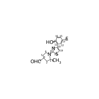 CC1CC(C=O)CCN1c1nc(-c2cc(F)ccc2O)cs1